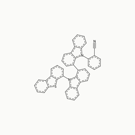 N#Cc1ccccc1-n1c2ccccc2c2cccc(-c3cccc4c5ccccc5n(-c5cccc6c5sc5ccccc56)c34)c21